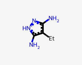 CCc1c(N)n[nH]c1N